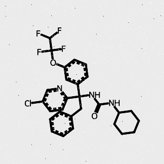 O=C(NC1CCCCC1)NC(Cc1ccccc1)(c1cccc(OC(F)(F)C(F)F)c1)c1ccc(Cl)cn1